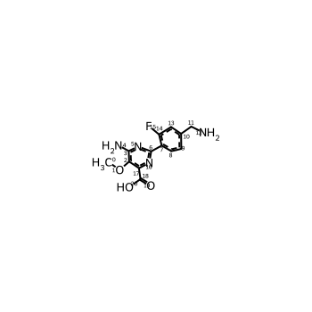 COc1c(N)nc(-c2ccc(CN)cc2F)nc1C(=O)O